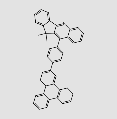 CC1(C)c2ccccc2-c2nc3ccccc3c(-c3ccc(C4=CCC5C(=C4)C4=C(C=CCC4)c4ccccc45)cc3)c21